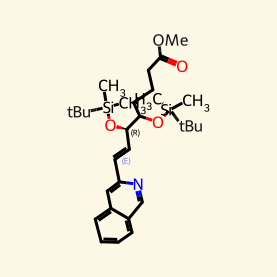 COC(=O)CCCC(O[Si](C)(C)C(C)(C)C)[C@@H](/C=C/c1cc2ccccc2cn1)O[Si](C)(C)C(C)(C)C